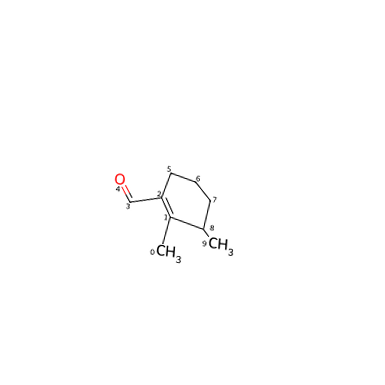 CC1=C(C=O)CCCC1C